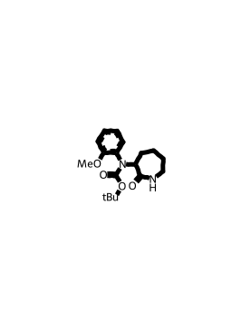 COc1ccccc1N(C(=O)OC(C)(C)C)C1CCCCNC1=O